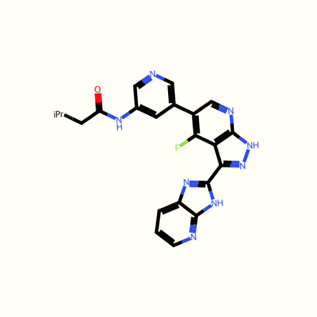 CC(C)CC(=O)Nc1cncc(-c2cnc3[nH]nc(-c4nc5cccnc5[nH]4)c3c2F)c1